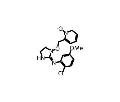 COc1ccc(Cl)c(N=C2NCCN2OCC2=CC=CCN2[O])c1